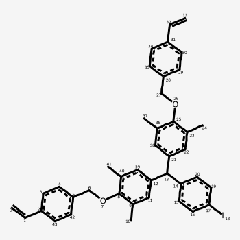 C=Cc1ccc(COc2c(C)cc(C(c3ccc(I)cc3)c3cc(C)c(OCc4ccc(C=C)cc4)c(C)c3)cc2C)cc1